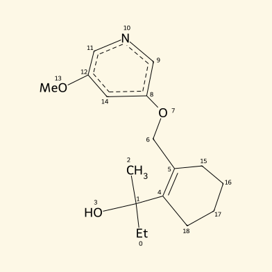 CCC(C)(O)C1=C(COc2cncc(OC)c2)CCCC1